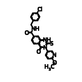 COc1ccc(-n2c(=S)[nH]c3cc(C(=O)NCc4ccc(Cl)cc4)ccc3c2=O)cn1